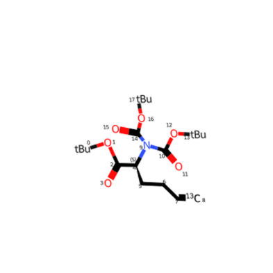 CC(C)(C)OC(=O)[C@H](CCC=[13CH2])N(C(=O)OC(C)(C)C)C(=O)OC(C)(C)C